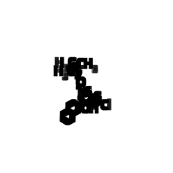 C[Si](C)(C)CCOCN1CC(O)(c2ccc3ccccc3c2)c2cc(Cl)sc2S1